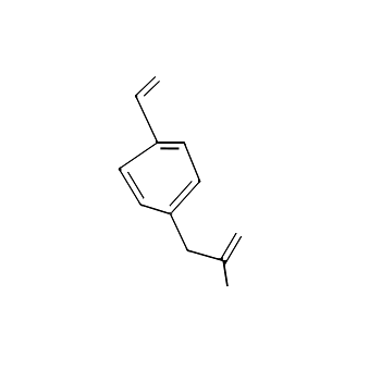 C[C@@H](C(=O)O)c1ccc(C=S)cc1